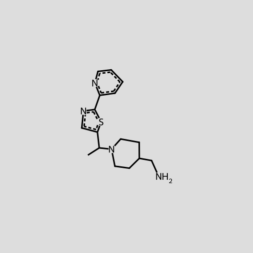 CC(c1cnc(-c2ccccn2)s1)N1CCC(CN)CC1